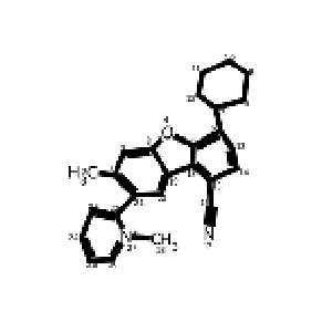 Cc1cc2oc3c(C4CCCCC4)ccc(C#N)c3c2cc1-c1cccc[n+]1C